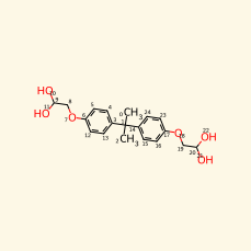 CC(C)(c1ccc(OCC(O)O)cc1)c1ccc(OCC(O)O)cc1